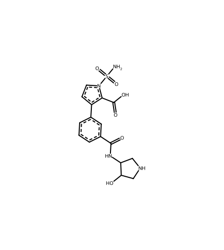 NS(=O)(=O)n1ccc(-c2cccc(C(=O)NC3CNCC3O)c2)c1C(=O)O